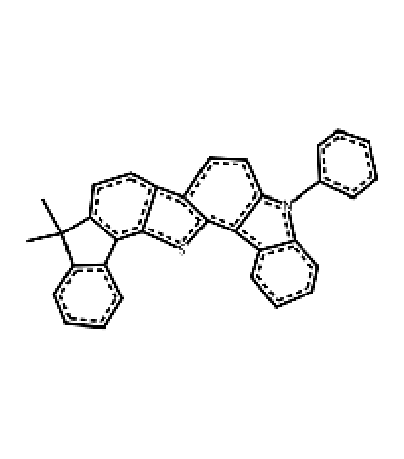 CC1(C)c2ccccc2-c2c1ccc1c2sc2c1ccc1c2c2ccccc2n1-c1ccccc1